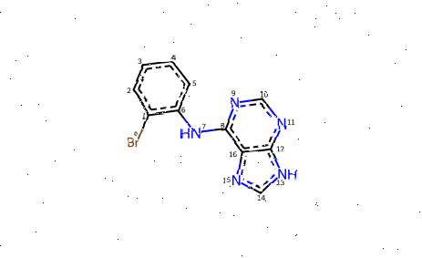 Brc1ccccc1Nc1ncnc2[nH]cnc12